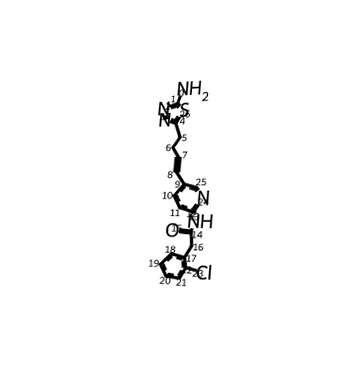 Nc1nnc(CCC#Cc2ccc(NC(=O)Cc3ccccc3Cl)nc2)s1